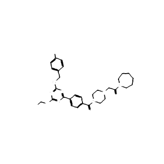 O=C(CN1CCN(C(=O)c2ccc(-c3nc(NCc4ccc(F)cc4)nc(OCC(F)(F)F)n3)cc2)CC1)N1CCCCCC1